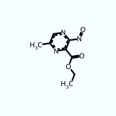 CCOC(=O)c1nc(C)cnc1N=O